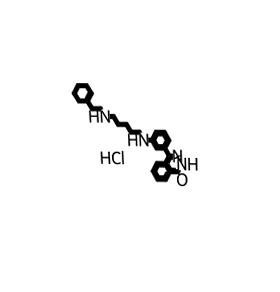 Cl.O=c1[nH]nc(-c2cccc(NCCCCCNCCC3=CCCCC3)c2)c2ccccc12